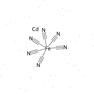 N#[C][Fe]([C]#N)([C]#N)([C]#N)([C]#N)[C]#N.[Cd]